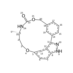 C[C@H]1CCOc2ccc3[nH]nc(c3c2)-c2cccc(c2)COC(=O)N1